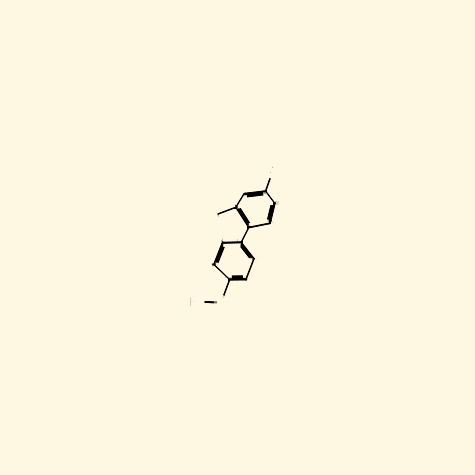 CCOc1ccc(-c2ccc(C(C)=O)cc2C)cc1